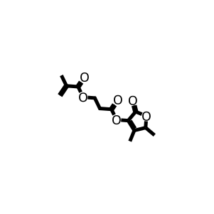 C=C(C)C(=O)OCCC(=O)OC1=C(C)C(C)OC1=O